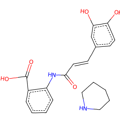 C1CCNCC1.O=C(C=Cc1ccc(O)c(O)c1)Nc1ccccc1C(=O)O